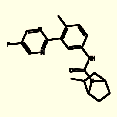 Cc1ccc(NC(=O)N2C3CCC2C(C)C3)cc1-c1ncc(F)cn1